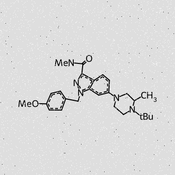 CNC(=O)c1nn(Cc2ccc(OC)cc2)c2cc(N3CCN(C(C)(C)C)C(C)C3)ccc12